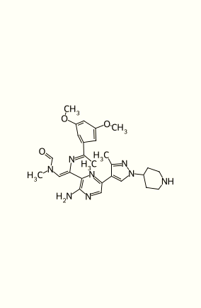 COc1cc(OC)cc(/C(C)=N/C(=C\N(C)C=O)c2nc(-c3cn(C4CCNCC4)nc3C)cnc2N)c1